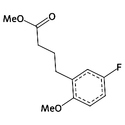 COC(=O)CCCc1cc(F)ccc1OC